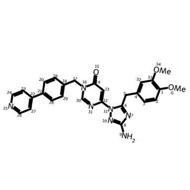 COc1ccc(Cc2nc(N)nn2-c2cc(=O)n(Cc3ccc(-c4ccncc4)cc3)cn2)cc1OC